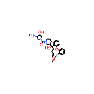 CCOCCCC[C@@](O)(c1ccccc1Oc1ccccc1C)C1CCCN(C(=O)N2C[C@@H](N)[C@@H](O)C2)C1